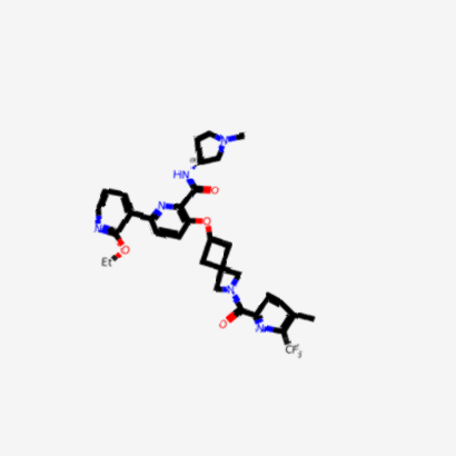 CCOc1ncccc1-c1ccc(OC2CC3(C2)CN(C(=O)c2ccc(C)c(C(F)(F)F)n2)C3)c(C(=O)N[C@@H]2CCN(C)C2)n1